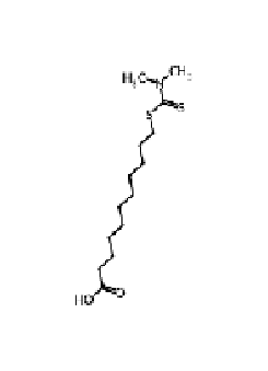 CN(C)C(=S)SCCCCCCCCCCC(=O)O